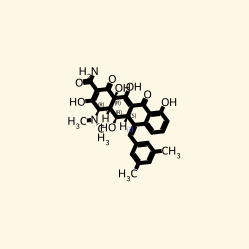 Cc1cc(C)cc(/C=C2\c3cccc(O)c3C(=O)C3=C(O)[C@@]4(O)C(=O)C(C(N)=O)=C(O)[C@H](N(C)C)[C@H]4[C@H](O)[C@H]32)c1